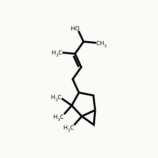 C/C(=C\CC1CC2CC2(C)C1(C)C)C(C)O